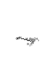 CO[Si](CCCCCCCN=C=O)(OC)OC